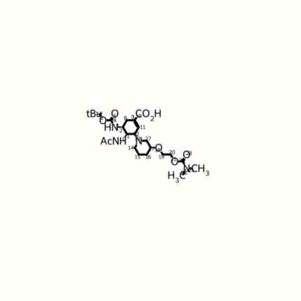 CC(=O)N[C@H]1[C@@H](NC(=O)OC(C)(C)C)CC(C(=O)O)=C[C@H]1N1CCC[C@H](OCCOC(=O)N(C)C)C1